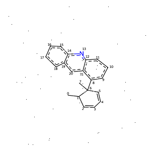 CC1C=CC=CC1(C)c1cccc2nc3ccccc3cc12